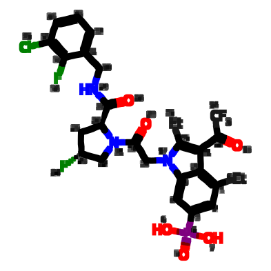 CCc1cc(P(=O)(O)O)cc2c1c(C(=O)C(F)(F)F)c(CC)n2CC(=O)N1C[C@H](F)C[C@H]1C(=O)NCc1cccc(Cl)c1F